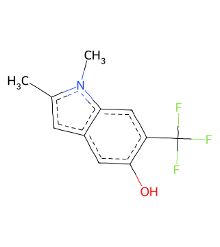 Cc1cc2cc(O)c(C(F)(F)F)cc2n1C